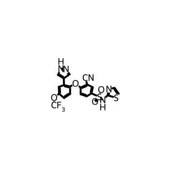 N#Cc1cc(S(=O)(=O)Nc2nccs2)ccc1Oc1ccc(OC(F)(F)F)cc1-c1cn[nH]c1